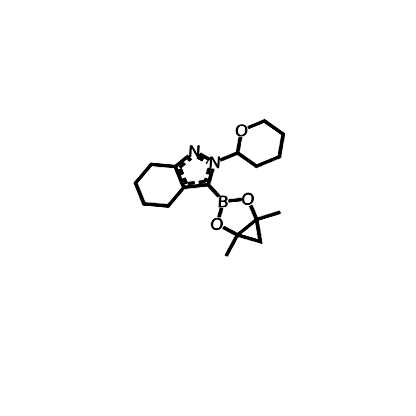 CC12CC1(C)OB(c1c3c(nn1C1CCCCO1)CCCC3)O2